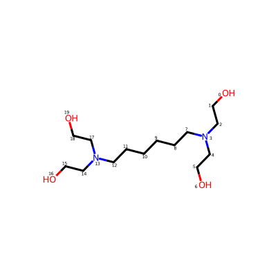 OCCN(CCO)CCCCCCN(CCO)CCO